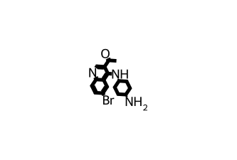 CC(=O)c1cnc2ccc(Br)cc2c1N[C@H]1CC[C@H](N)CC1